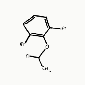 CC(Cl)Oc1c(C(C)C)cccc1C(C)C